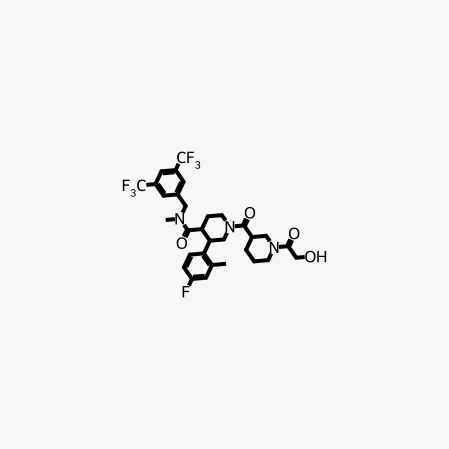 Cc1cc(F)ccc1C1CN(C(=O)C2CCCN(C(=O)CO)C2)CCC1C(=O)N(C)Cc1cc(C(F)(F)F)cc(C(F)(F)F)c1